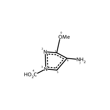 COc1nn(C(=O)O)cc1N